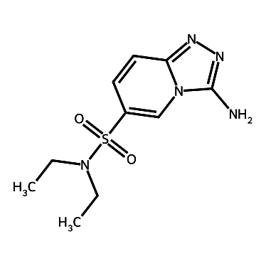 CCN(CC)S(=O)(=O)c1ccc2nnc(N)n2c1